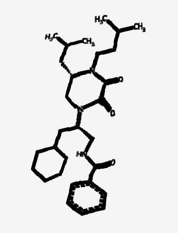 CC(C)CCN1C(=O)C(=O)N([C@@H](CNC(=O)c2ccccc2)CC2CCCCC2)C[C@@H]1CC(C)C